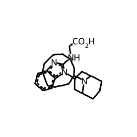 O=C(O)CNc1nc2ccccc2n1C1CC2CCCC(C1)N2C1CCCCCCCCC1